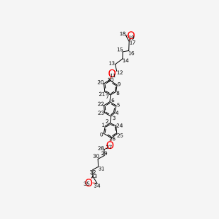 c1cc(-c2ccc(-c3ccc(OCCCCCC4CO4)cc3)cc2)ccc1OCCCCCC1CO1